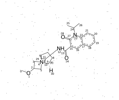 COC1C[N+]2(C1)C1CC[C@@H]2CC(NC(=O)c2cc3ccccc3n(C(C)C)c2=O)C1